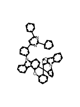 c1ccc(-c2cc(-c3cccc(-n4c5ccccc5c5c6c(ccc54)C4(c5ccccc5O6)c5ccccc5-n5c6ccccc6c6cccc4c65)c3)nc(-c3ccccc3)n2)cc1